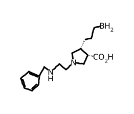 BCCC[C@H]1CN(CCNCc2ccccc2)C[C@H]1C(=O)O